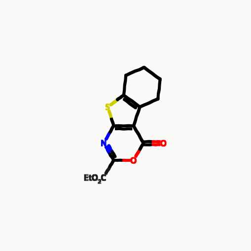 CCOC(=O)c1nc2sc3c(c2c(=O)o1)CCCC3